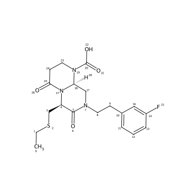 CCSC[C@@H]1C(=O)N(CCc2cccc(F)c2)C[C@@H]2N(C(=O)O)CCC(=O)N12